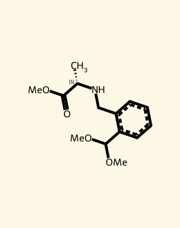 COC(=O)[C@H](C)NCc1ccccc1C(OC)OC